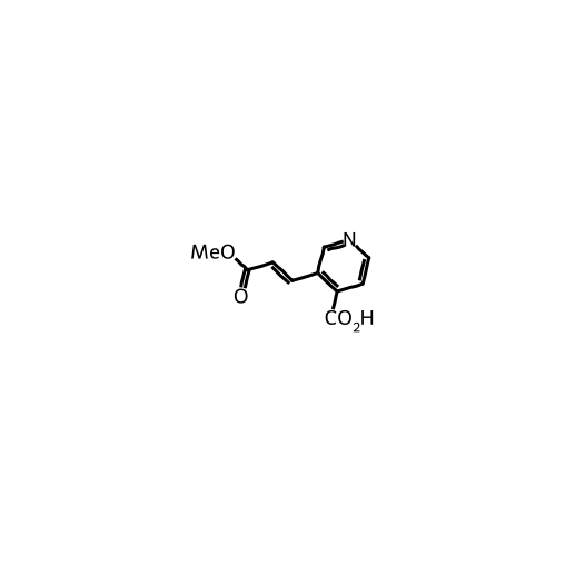 COC(=O)C=Cc1cnccc1C(=O)O